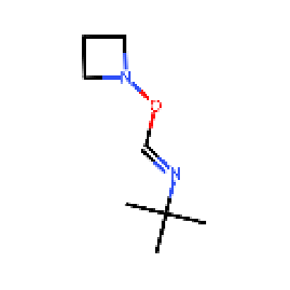 CC(C)(C)/N=C/ON1CCC1